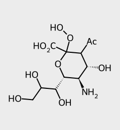 CC(=O)C1[C@H](O)[C@@H](N)[C@H](C(O)C(O)CO)OC1(OO)C(=O)O